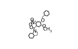 COc1cc(C(=O)N2CCc3ccccc32)c([N+](=O)[O-])cc1OCc1ccccc1